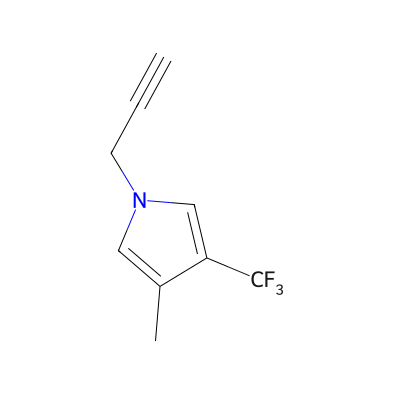 C#CCn1cc(C)c(C(F)(F)F)c1